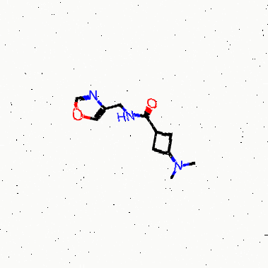 CN(C)C1CC(C(=O)NCc2cocn2)C1